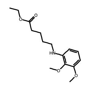 CCOC(=O)CCCCNc1cccc(OC)c1OC